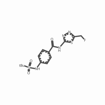 CC(C)(C)S(=O)(=O)Nc1ccc(C(=O)Nc2nnc(CF)s2)cc1